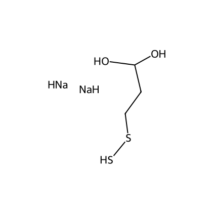 OC(O)CCSS.[NaH].[NaH]